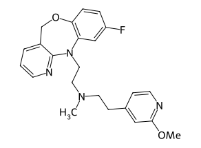 COc1cc(CCN(C)CCN2c3cc(F)ccc3OCc3cccnc32)ccn1